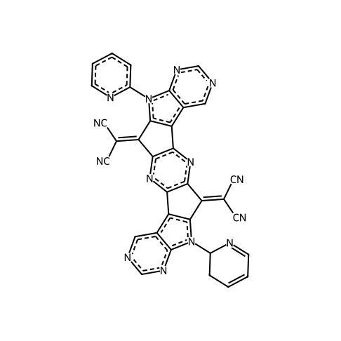 N#CC(C#N)=C1c2nc3c(nc2-c2c1n(-c1ccccn1)c1ncncc21)C(=C(C#N)C#N)c1c-3c2cncnc2n1C1CC=CC=N1